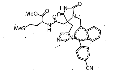 COC(=O)[C@H](CCSC)NC(=O)CC1(Cc2cncn2Cc2ccc(C#N)cc2)C(=O)NC(=O)N1Cc1cccc2ccccc12